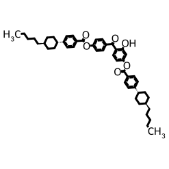 CCCCC[C@H]1CC[C@H](c2ccc(C(=O)Oc3ccc(C(=O)c4ccc(OC(=O)c5ccc([C@H]6CC[C@H](CCCCC)CC6)cc5)cc4O)cc3)cc2)CC1